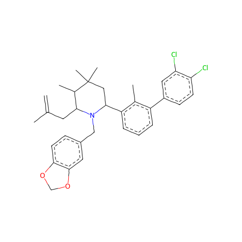 C=C(C)CC1C(C)C(C)(C)CC(c2cccc(-c3ccc(Cl)c(Cl)c3)c2C)N1Cc1ccc2c(c1)OCO2